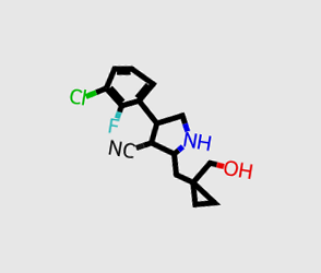 N#CC1C(CC2(CO)CC2)NCC1c1cccc(Cl)c1F